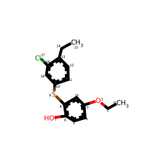 CCOc1ccc(O)c(Sc2ccc(CC)c(Cl)c2)c1